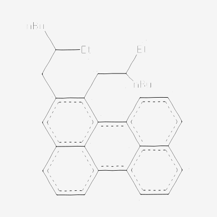 CCCCC(CC)Cc1cc2cccc3c4cccc5cccc(c(c1CC(CC)CCCC)c23)c54